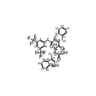 CN(C(=O)Cc1cc(C(F)(F)F)cc(C(F)(F)F)c1)[C@H](Cc1ccccc1)C(=O)N[C@@H](Cc1c[nH]c2ccccc12)C(=O)O